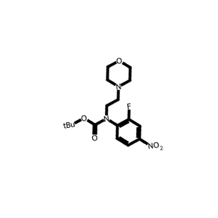 CC(C)(C)OC(=O)N(CCN1CCOCC1)c1ccc([N+](=O)[O-])cc1F